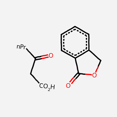 CCCC(=O)CC(=O)O.O=C1OCc2ccccc21